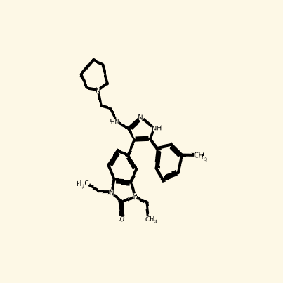 CCn1c(=O)n(CC)c2cc(-c3c(NCCN4CCCCC4)n[nH]c3-c3cccc(C)c3)ccc21